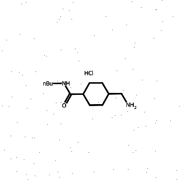 CCCCNC(=O)C1CCC(CN)CC1.Cl